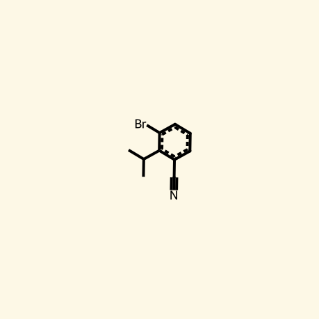 CC(C)c1c(Br)cccc1C#N